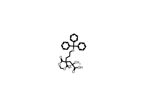 CC(C)(CC1(CCCSC(c2ccccc2)(c2ccccc2)c2ccccc2)C(=O)OCOC1=O)C(=O)O